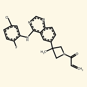 C=CC(=O)N1CC(C)(c2ccc3ncnc(Nc4cc(Cl)ccc4F)c3c2)C1